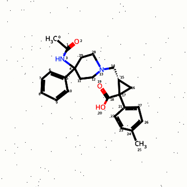 CC(=O)NC1(c2ccccc2)CCN(C[C@@H]2CC2(C(=O)O)c2ccc(C)cc2)CC1